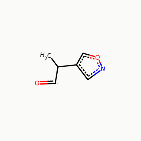 CC([C]=O)c1cnoc1